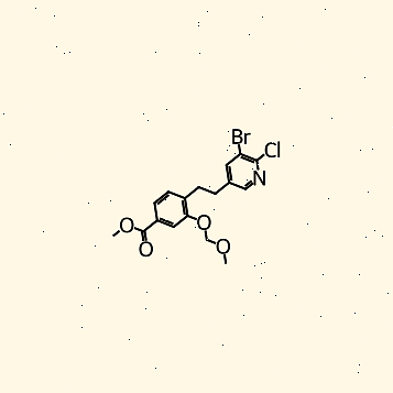 COCOc1cc(C(=O)OC)ccc1CCc1cnc(Cl)c(Br)c1